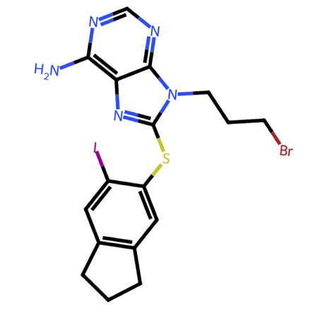 Nc1ncnc2c1nc(Sc1cc3c(cc1I)CCC3)n2CCCBr